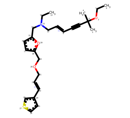 CCOC(C)(C)C#C/C=C/CN(CC)Cc1ccc(COC/C=C/c2ccsc2)o1